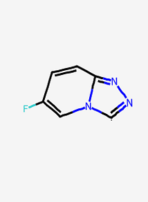 Fc1ccc2nn[c]n2c1